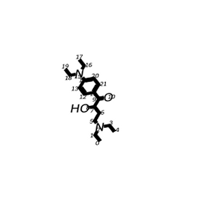 CCN(CC)CCC(O)C(=O)c1ccc(N(CC)CC)cc1